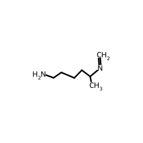 C=NC(C)CCCCN